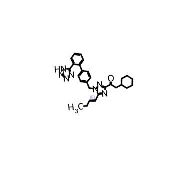 CC/C=C/c1nc(C(=O)CC2CCCCC2)nn1Cc1ccc(-c2ccccc2-c2nnn[nH]2)cc1